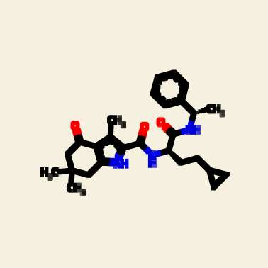 Cc1c(C(=O)N[C@H](CCC2CC2)C(=O)N[C@@H](C)c2ccccc2)[nH]c2c1C(=O)CC(C)(C)C2